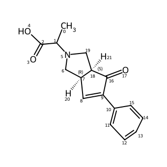 CC(C(=O)O)N1C[C@@H]2C=C(c3ccccc3)C(=O)[C@@H]2C1